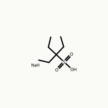 CCC(CC)(CC)S(=O)(=O)O.[NaH]